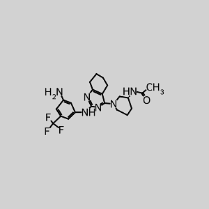 CC(=O)N[C@@H]1CCCN(c2nc(Nc3cc(N)cc(C(F)(F)F)c3)nc3c2CCCC3)C1